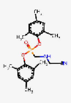 Cc1cc(C)c(OP(=O)(CNCC#N)Oc2c(C)cc(C)cc2C)c(C)c1